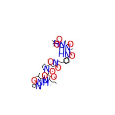 CC[C@H](C)[C@@H]([C@@H](CC(=O)N1CCC[C@H]1[C@H](OC)[C@@H](C)C(=O)N(C)CCc1cccc(NC(=O)[C@H](C)NC(=O)[C@H](C)NC(=O)OC(C)(C)C)c1)OC)N(C)C(=O)[C@@H](NC(=O)C1(N(C)C)CCC1)C(C)C